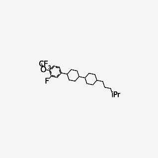 CC(C)CCCC1CCC(C2CCC(c3ccc(OC(F)(F)F)c(F)c3)CC2)CC1